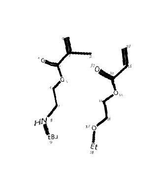 C=C(C)C(=O)OCCNC(C)(C)C.C=CC(=O)OCCOCC